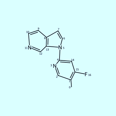 Cc1cnc(-n2ccc3ccncc32)cc1F